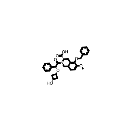 COC1=CCC2CN(C(=O)[C@H](O[C@H]3C[C@@H](O)C3)c3ccccc3)[C@H](C(=O)O)CC2=C1OCc1ccccc1